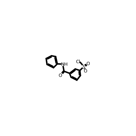 O=C(Nc1ccccc1)c1cccc(S(=O)(=O)Cl)c1